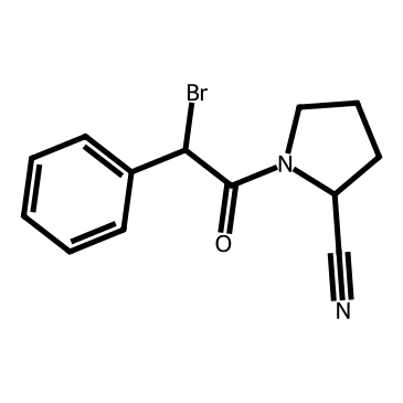 N#CC1CCCN1C(=O)C(Br)c1ccccc1